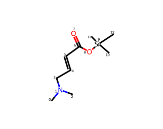 CN(C)CC=CC(=O)O[Si](C)(C)C